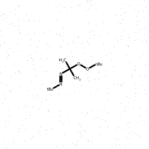 CCCCOOC(C)(C)N=NC(C)(C)C